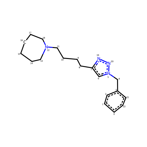 c1ccc(Cn2cc(CCCCN3CCCCCC3)nn2)cc1